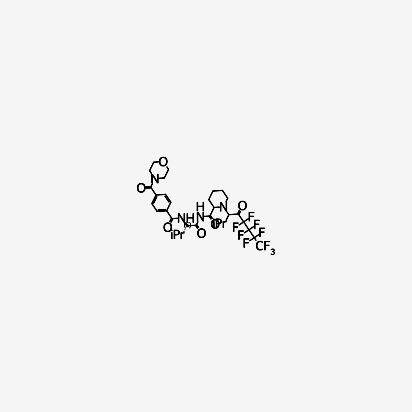 CC(C)C(C(=O)C(F)(F)C(F)(F)C(F)(F)C(F)(F)F)N1CCCCC1C(=O)NC(=O)[C@@H](NC(=O)c1ccc(C(=O)N2CCOCC2)cc1)C(C)C